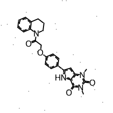 Cn1c(=O)c2[nH]c(-c3ccc(OCC(=O)N4CCCc5ccccc54)cc3)cc2n(C)c1=O